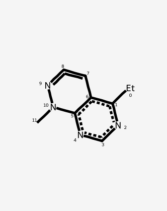 CCc1ncnc2c1C=C=NN2C